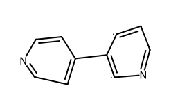 [c]1ccn[c]c1-c1ccncc1